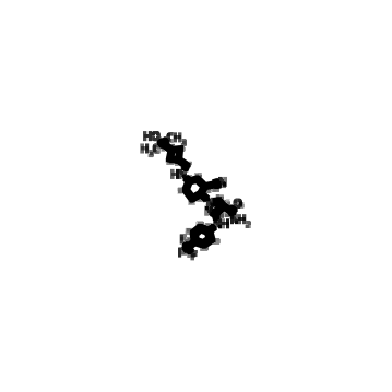 CC(C)(O)C1CC(CNC2CCC(n3cc(C(N)=O)c(Nc4ccc(C(F)(F)F)cc4)n3)C(C#N)C2)C1